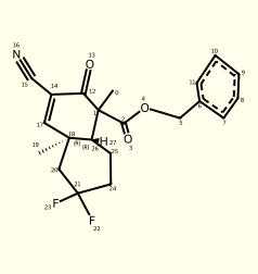 CC1(C(=O)OCc2ccccc2)C(=O)C(C#N)=C[C@]2(C)CC(F)(F)CC[C@@H]12